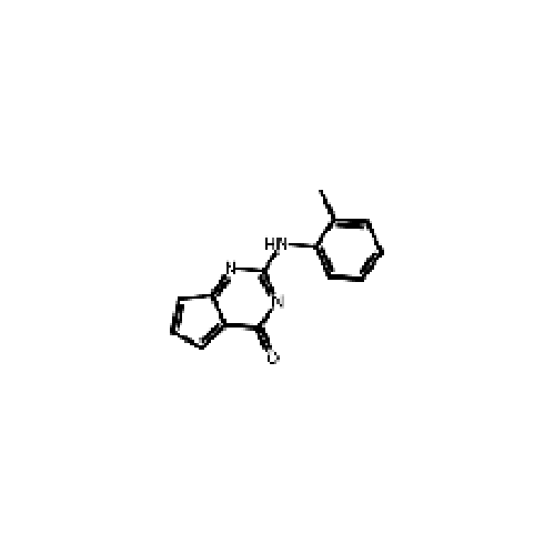 Cc1ccccc1NC1=NC(=O)C2=CC=CC2=N1